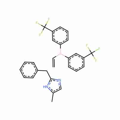 C=CB(c1cccc(C(F)(F)F)c1)c1cccc(C(F)(F)F)c1.Cc1cnc(Cc2ccccc2)[nH]1